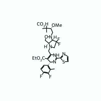 CCOC(=O)C1=C(CN2CC(F)(F)[C@H]3[C@@H]2CON3C[C@@H](OC)C(C)(C)C(=O)O)NC(c2nccs2)=N[C@@H]1c1ccc(F)c(F)c1C